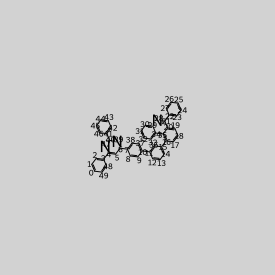 c1ccc(-c2cc(-c3ccc(-c4cccc(-c5cccc6c(-c7ccccc7)nc7ccccc7c56)c4)cc3)nc(-c3ccccc3)n2)cc1